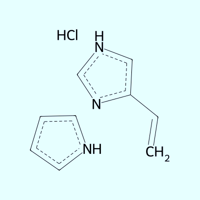 C=Cc1c[nH]cn1.Cl.c1cc[nH]c1